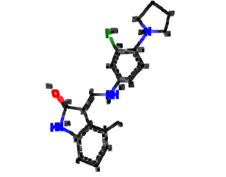 Cc1cccc2c1/C(=C\Nc1ccc(N3CCCC3)c(F)c1)C(=O)N2